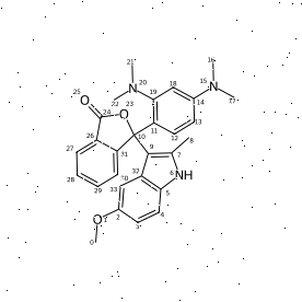 COc1ccc2[nH]c(C)c(C3(c4ccc(N(C)C)cc4N(C)C)OC(=O)c4ccccc43)c2c1